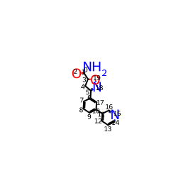 NC(=O)C1CC(c2cccc(-c3cccnc3)c2)=NO1